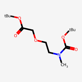 CN(CCOCC(=O)OC(C)(C)C)C(=O)OC(C)(C)C